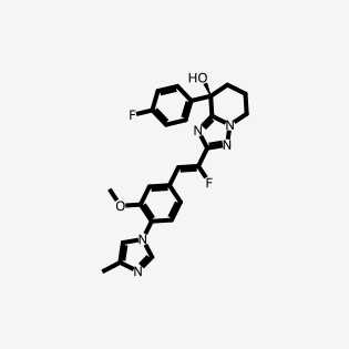 COc1cc(/C=C(\F)c2nc3n(n2)CCC[C@@]3(O)c2ccc(F)cc2)ccc1-n1cnc(C)c1